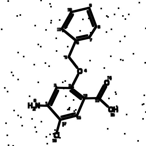 Nc1cc(OCc2ccccc2)c(C(=O)O)cc1Cl